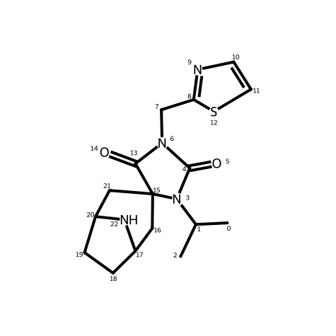 CC(C)N1C(=O)N(Cc2nccs2)C(=O)C12CC1CCC(C2)N1